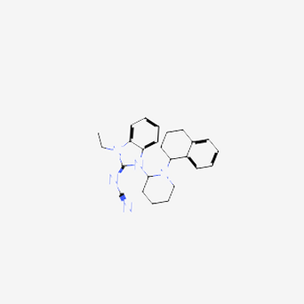 CCn1c(=NC#N)n(C2CCCCN2C2CCCc3ccccc32)c2ccccc21